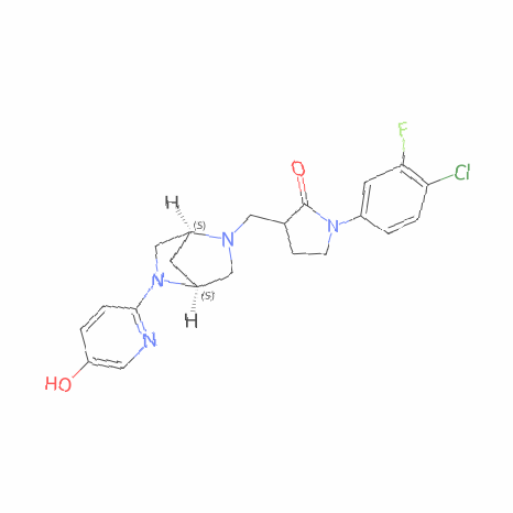 O=C1C(CN2C[C@@H]3C[C@H]2CN3c2ccc(O)cn2)CCN1c1ccc(Cl)c(F)c1